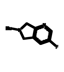 CCC(C)N1Cc2cc(F)cnc2C1